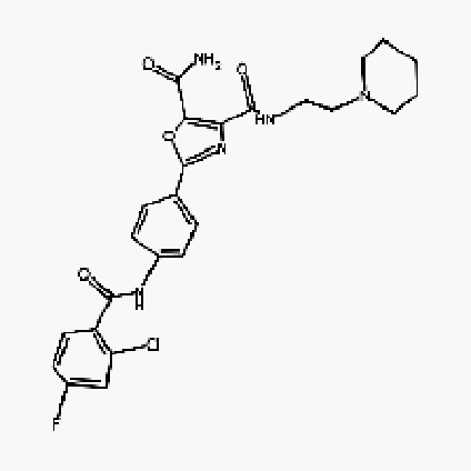 NC(=O)c1oc(-c2ccc(NC(=O)c3ccc(F)cc3Cl)cc2)nc1C(=O)NCCN1CCCCC1